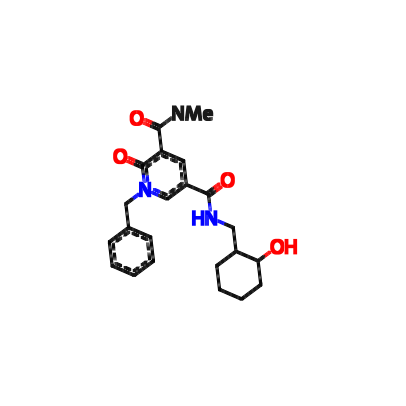 CNC(=O)c1cc(C(=O)NCC2CCCCC2O)cn(Cc2ccccc2)c1=O